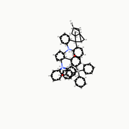 c1ccc([Si](c2ccccc2)(c2ccccc2)c2cccc(-c3c(N4c5ccccc5C5(c6ccccc64)C4C[C@@H]6CC57C[C@@]7(C4)C6)cccc3-n3c4ccccc4c4ccccc43)c2)cc1